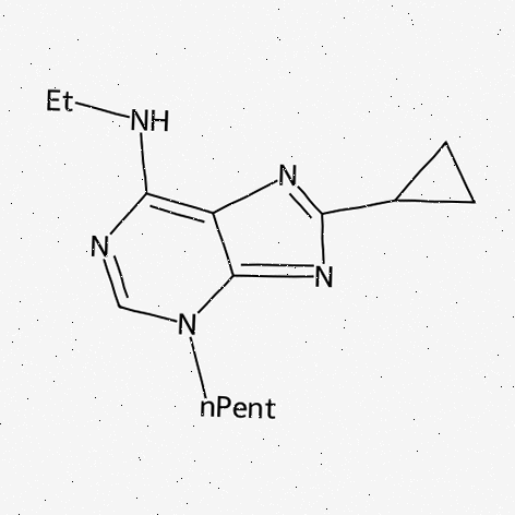 CCCCCn1cnc(NCC)c2nc(C3CC3)nc1-2